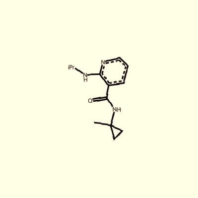 CC(C)Nc1ncccc1C(=O)NC1(C)CC1